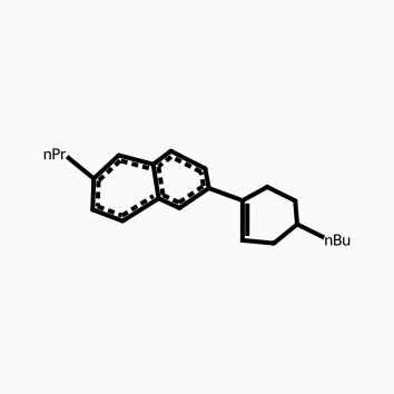 CCCCC1CC=C(c2ccc3cc(CCC)ccc3c2)CC1